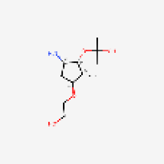 C[C@H]1[C@@H](OC(C)(C)O)[C@H](N)C[C@@H]1OCCO